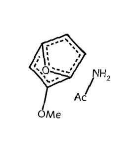 CC(N)=O.COc1cc2ccc1o2